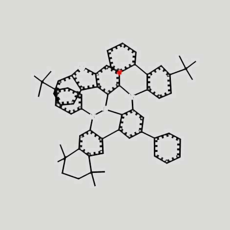 CC(C)(C)c1ccc(N2B3c4c(cc(-c5ccccc5)cc4N(c4ccc(C(C)(C)C)cc4-c4ccccc4)c4ccc5oc6ccccc6c5c43)-c3cc4c(cc32)C(C)(C)CCC4(C)C)cc1